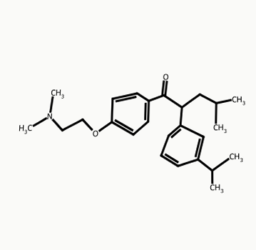 CC(C)CC(C(=O)c1ccc(OCCN(C)C)cc1)c1cccc(C(C)C)c1